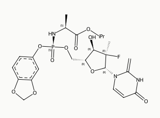 C=C1NC(=O)C=CN1[C@@H]1O[C@H](CO[P@@](=O)(N[C@@H](C)C(=O)OC(C)C)Oc2ccc3c(c2)OCO3)[C@@H](O)[C@@]1(C)F